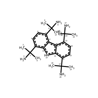 CC(C)(N)c1ccc(C(C)(C)N)c2c1[nH]c1c(C(C)(C)N)ccc(C(C)(C)N)c12